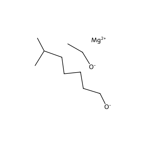 CC(C)CCCCC[O-].CC[O-].[Mg+2]